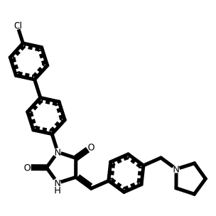 O=C1N/C(=C/c2ccc(CN3CCCC3)cc2)C(=O)N1c1ccc(-c2ccc(Cl)cc2)cc1